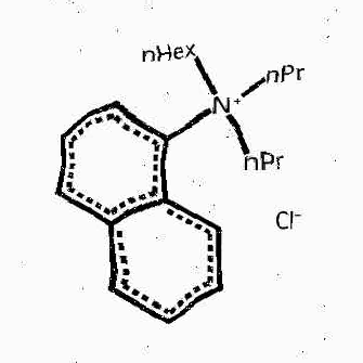 CCCCCC[N+](CCC)(CCC)c1cccc2ccccc12.[Cl-]